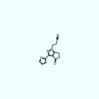 N#CCCn1nc(-c2ccco2)c2c1CCC2=O